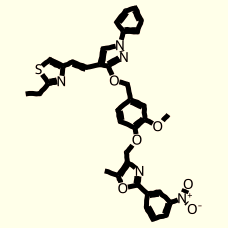 CCc1nc(C=Cc2cn(-c3ccccc3)nc2OCc2ccc(OCc3nc(-c4cccc([N+](=O)[O-])c4)oc3C)c(OC)c2)cs1